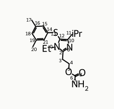 CCn1c(CCOC(N)=O)nc(C(C)C)c1Sc1cc(C)cc(C)c1